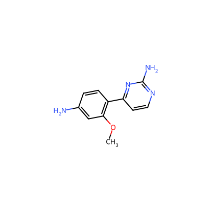 COc1cc(N)ccc1-c1ccnc(N)n1